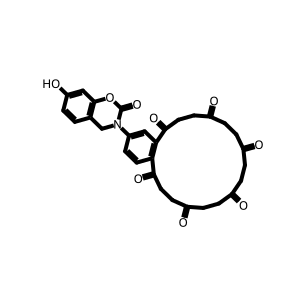 O=C1CCC(=O)CCC(=O)CCC(=O)c2cc(N3Cc4ccc(O)cc4OC3=O)ccc2C(=O)CCC(=O)CC1